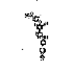 CC(C)(C)OC(=O)N1CCC(Oc2c(F)cc(-c3ncnc(Nc4ccc(N5CCN(C6COC6)CC5)cc4)n3)cc2C#N)C(F)C1